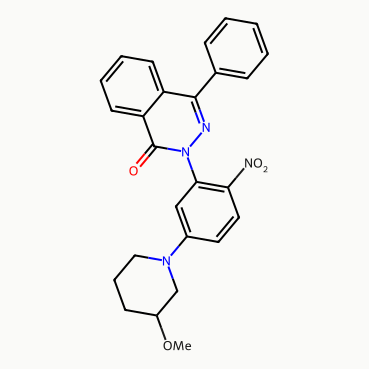 COC1CCCN(c2ccc([N+](=O)[O-])c(-n3nc(-c4ccccc4)c4ccccc4c3=O)c2)C1